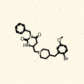 COc1ccc(Br)c(CC2CCN(CC3CC(=O)N(Cc4ccccc4)C(=O)N3)CC2)c1